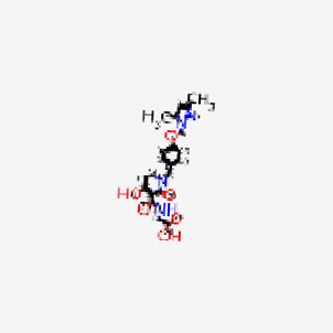 Cc1cc(C)n(COc2ccc(CN3CCC(O)=C(C(=O)NCC(=O)O)C3=O)cc2)n1